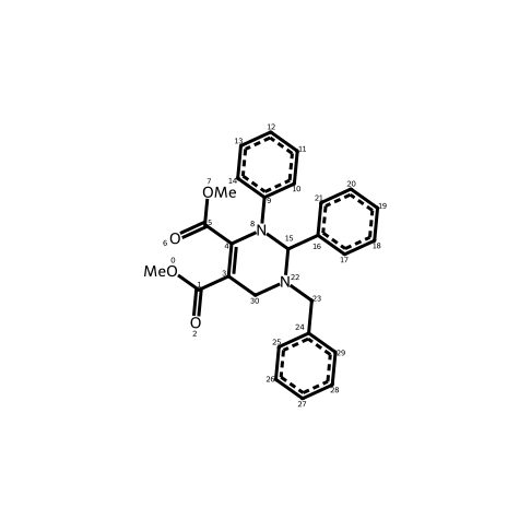 COC(=O)C1=C(C(=O)OC)N(c2ccccc2)C(c2ccccc2)N(Cc2ccccc2)C1